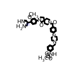 COc1cc(N2CCC3(CCN(C(=O)c4ccc(N5CCN(Cc6cccc(NS(C)(=O)=O)c6)CC5)cc4)CC3)C2=O)ccc1/C(C=N)=C/N